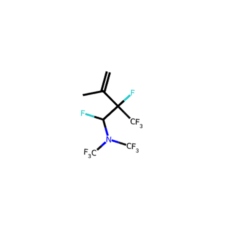 C=C(C)C(F)(C(F)N(C(F)(F)F)C(F)(F)F)C(F)(F)F